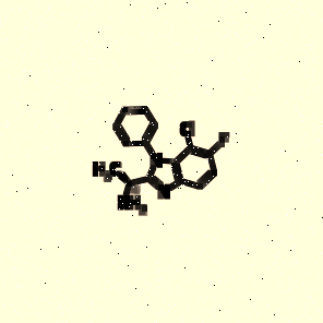 C[C@H](N)c1nc2ccc(F)c(Cl)c2n1-c1ccccc1